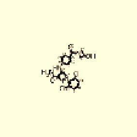 NC(=O)c1nn(-c2c(Cl)cccc2Cl)cc1Nc1ccc(C(=O)N2CC(O)C2)cc1